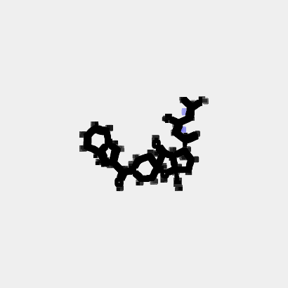 C=C(/C=C(F)\C=C(/C)F)[C@@H]1CC[C@H]2OC3(CCN(C(=O)c4cn5ccccc5n4)CC3)C(=O)N21